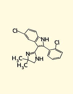 CC1(C)CNC(c2c(-c3ccccc3Cl)[nH]c3ccc(Cl)cc23)=N1